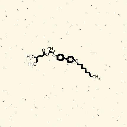 CCCCCCCCOc1ccc(-c2ccc(OCC(C)OC(=O)CCC(C)CC)cc2)cc1